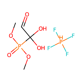 COP(=O)(OC)C(O)(O)C=O.F[PH](F)(F)F